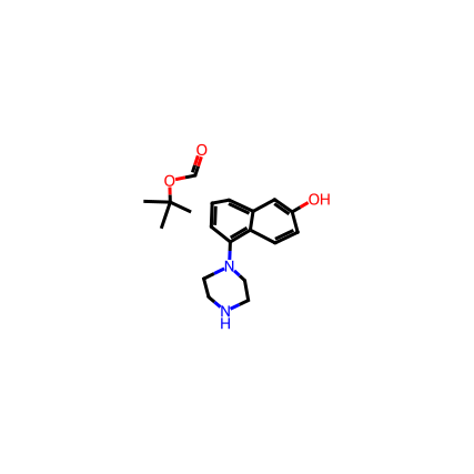 CC(C)(C)OC=O.Oc1ccc2c(N3CCNCC3)cccc2c1